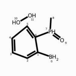 Bc1ccccc1[PH](C)=O.OO